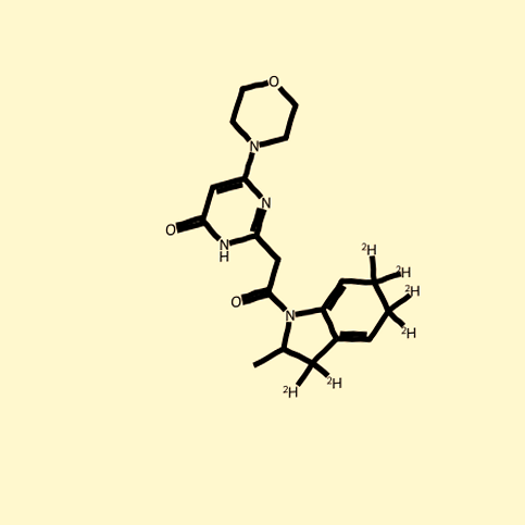 [2H]C1([2H])C2=CC([2H])([2H])C([2H])([2H])C=C2N(C(=O)Cc2nc(N3CCOCC3)cc(=O)[nH]2)C1C